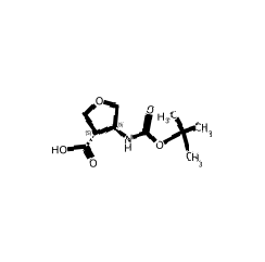 CC(C)(C)OC(=O)N[C@@H]1COC[C@H]1C(=O)O